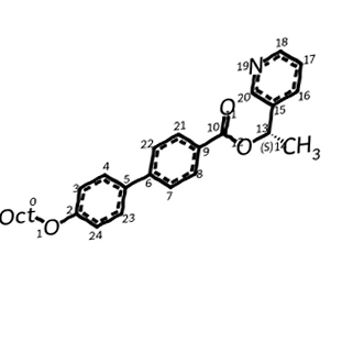 CCCCCCCCOc1ccc(-c2ccc(C(=O)O[C@@H](C)c3cccnc3)cc2)cc1